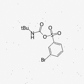 CC(C)(C)NC(=O)OS(=O)(=O)c1cccc(Br)c1